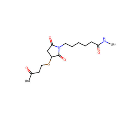 CC(C)(C)NC(=O)CCCCCN1C(=O)CC(SCCC(=O)C(C)(C)C)C1=O